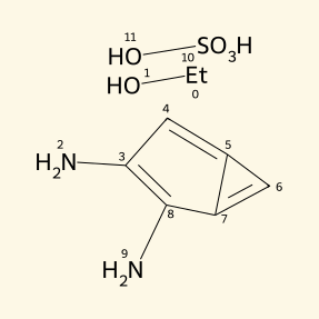 CCO.Nc1cc2cc-2c1N.O=S(=O)(O)O